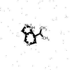 CC(C)c1cncc2cn[nH]c12